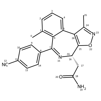 Cc1cccc2c1C(c1ccc(C#N)cc1)=N[C@@H](CC(N)=O)c1onc(C)c1-2